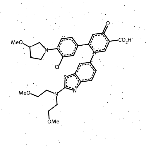 COCCN(CCOC)c1nc2ccc(-n3cc(C(=O)O)c(=O)cc3-c3ccc(N4CCC(OC)C4)c(Cl)c3)cc2s1